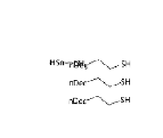 CCCCCCCCCCCCS.CCCCCCCCCCCCS.CCCCCCCCCCCCS.[CH3][SnH]